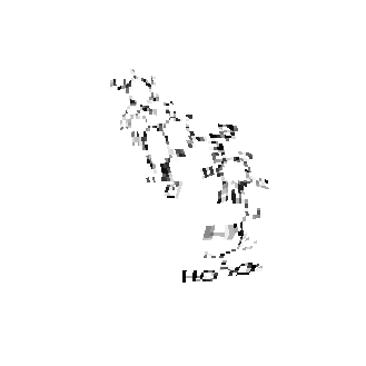 Cc1ccc(C=C(CC[S+]([O-])c2ccc(CNCCC(=O)O)cc2)c2cccc(Cl)c2)cc1C